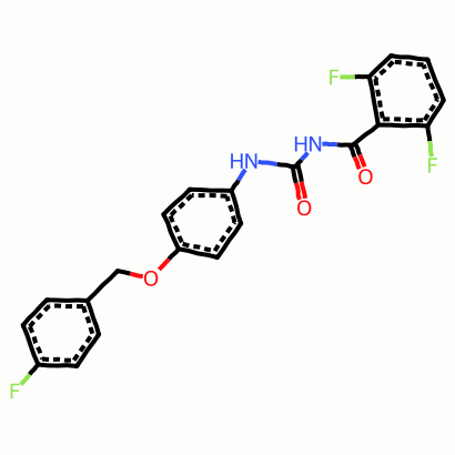 O=C(NC(=O)c1c(F)cccc1F)Nc1ccc(OCc2ccc(F)cc2)cc1